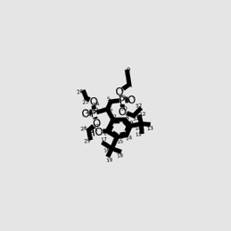 CCOP(=O)(CC(c1cc(C(C)(C)C)cc(C(C)(C)C)c1O)P(=O)(OCC)OCC)OCC